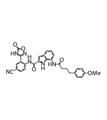 COc1ccc(CCCC(=O)Nc2cccc3cc(C(=O)Nc4ccc(C#N)cc4-c4noc(=O)[nH]4)[nH]c23)cc1